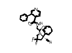 N#C[C@]1(c2ccccc2)CC(F)(F)CN1C(=O)CNC(=O)c1ccncc1-c1ccccc1